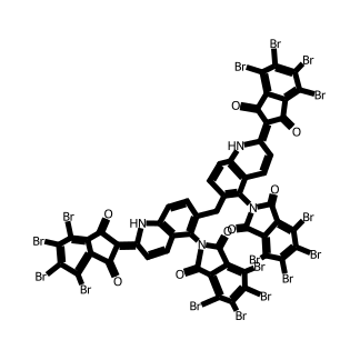 O=C1C(=C2C=Cc3c(ccc(Cc4ccc5c(c4N4C(=O)c6c(Br)c(Br)c(Br)c(Br)c6C4=O)C=CC(=C4C(=O)c6c(Br)c(Br)c(Br)c(Br)c6C4=O)N5)c3N3C(=O)c4c(Br)c(Br)c(Br)c(Br)c4C3=O)N2)C(=O)c2c(Br)c(Br)c(Br)c(Br)c21